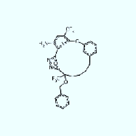 Nc1cc(C(F)(F)F)c2nc1-c1nnc(o1)C(OCc1ccccc1)(C(F)(F)F)CCCCc1cccc(c1)O2